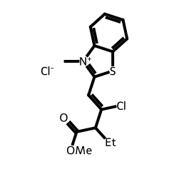 CCC(C(=O)OC)/C(Cl)=C/c1sc2ccccc2[n+]1C.[Cl-]